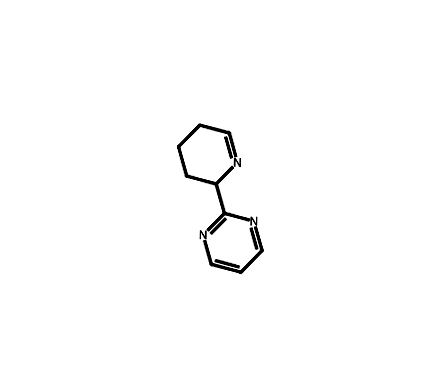 C1=NC(c2ncccn2)CCC1